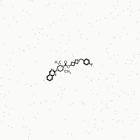 C[C@@H]1CN(c2ncc3ccccc3n2)C[C@H](C)N1C(=O)OC1CC2(C1)CN(Cc1ccc(F)cc1)C2